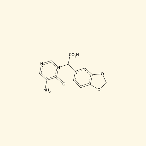 Nc1cncn(C(C(=O)O)c2ccc3c(c2)OCO3)c1=O